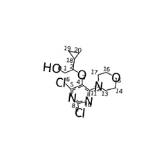 OCC(Oc1c(Cl)nc(Cl)nc1N1CCOCC1)C1CC1